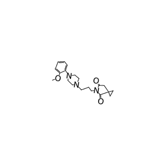 COc1ccccc1N1CCN(CCCN2C(=O)CC3(CC3)C2=O)CC1